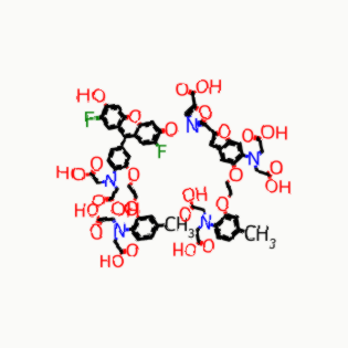 Cc1ccc(N(CC(=O)O)CC(=O)O)c(OCCOc2cc(-c3c4cc(F)c(=O)cc-4oc4cc(O)c(F)cc34)ccc2N(CC(=O)O)CC(=O)O)c1.Cc1ccc(N(CC(=O)O)CC(=O)O)c(OCCOc2cc3cc(-c4ncc(C(=O)O)o4)oc3cc2N(CC(=O)O)CC(=O)O)c1